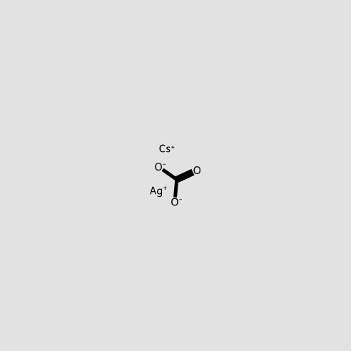 O=C([O-])[O-].[Ag+].[Cs+]